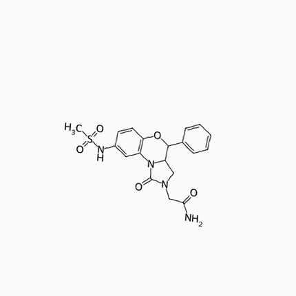 CS(=O)(=O)Nc1ccc2c(c1)N1C(=O)N(CC(N)=O)CC1C(c1ccccc1)O2